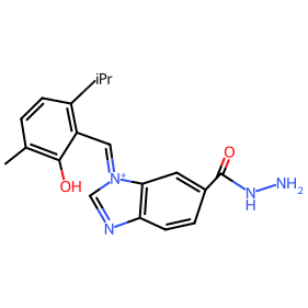 Cc1ccc(C(C)C)c(C=[N+]2C=Nc3ccc(C(=O)NN)cc32)c1O